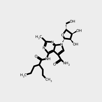 CCCC(CCC)C(=O)Nc1nc(C)nc2c1c(C(N)=O)cn2[C@@H]1O[C@H](CO)[C@@H](O)[C@H]1O